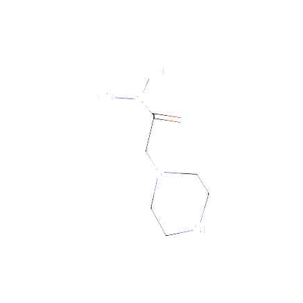 CN(N)C(=O)CN1CCNCC1